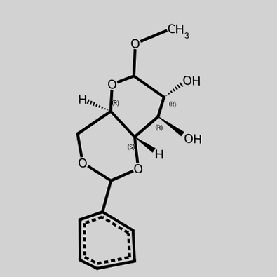 COC1O[C@@H]2COC(c3ccccc3)O[C@H]2[C@H](O)[C@H]1O